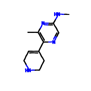 CNc1cnc(C2=CCNCC2)c(C)n1